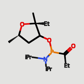 CCC(=O)P(OC1C[C@H](C)O[C@@]1(C)CC)N(C(C)C)C(C)C